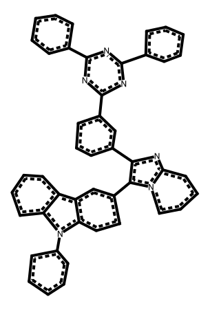 c1ccc(-c2nc(-c3ccccc3)nc(-c3cccc(-c4nc5ccccn5c4-c4ccc5c(c4)c4ccccc4n5-c4ccccc4)c3)n2)cc1